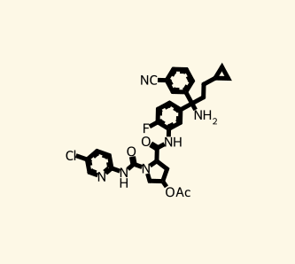 CC(=O)OC1CC(C(=O)Nc2cc(C(N)(CCC3CC3)c3cccc(C#N)c3)ccc2F)N(C(=O)Nc2ccc(Cl)cn2)C1